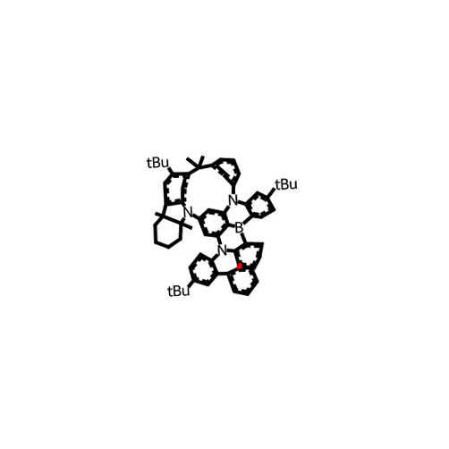 CC(C)(C)c1ccc(N2c3ccccc3B3c4ccc(C(C)(C)C)cc4N4c5cccc(c5)C(C)(C)c5cc6c(cc5C(C)(C)C)C5(C)CCCCC5(C)N6c5cc4c3c2c5)c(-c2ccccc2)c1